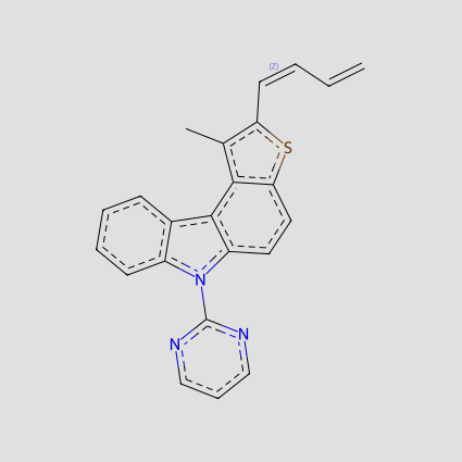 C=C/C=C\c1sc2ccc3c(c4ccccc4n3-c3ncccn3)c2c1C